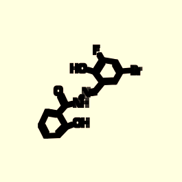 O=C(N/N=C/c1cc(Br)cc(F)c1O)c1ccccc1O